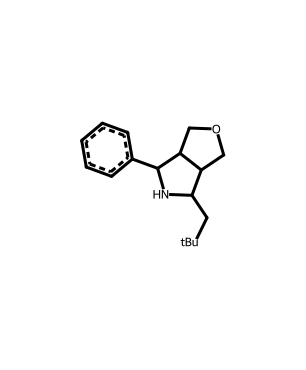 CC(C)(C)CC1NC(c2ccccc2)C2COCC12